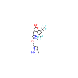 Cn1nc(CC(CC(=O)O)c2cc(C(F)(F)F)cc(C(C)(C)C(F)(F)F)c2)cc1OCCc1ccc2c(n1)NCCC2